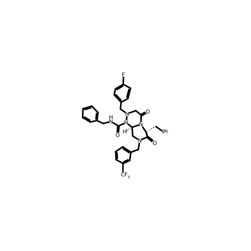 CC(C)C[C@@H]1C(=O)N(Cc2cccc(C(F)(F)F)c2)C[C@@H]2N1C(=O)CN(Cc1ccc(F)cc1)N2C(=O)NCc1ccccc1